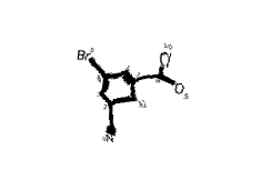 N#Cc1cc(Br)cc(C(=O)Cl)c1